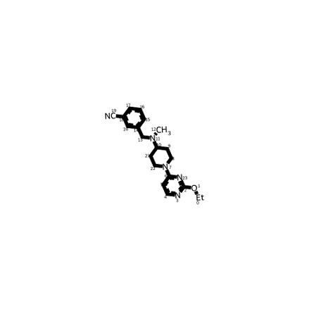 CCOc1nccc(N2CCC(N(C)Cc3cccc(C#N)c3)CC2)n1